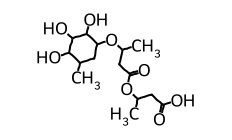 CC(CC(=O)O)OC(=O)CC(C)OC1CC(C)C(O)C(O)C1O